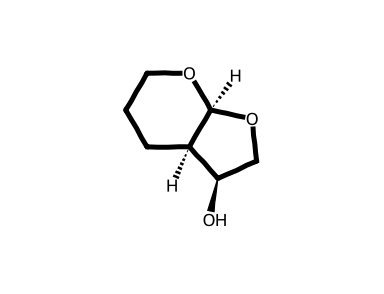 O[C@@H]1CO[C@@H]2OCCC[C@@H]21